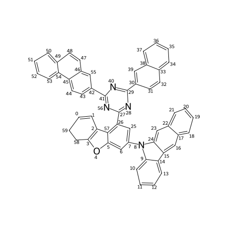 C1=Cc2c(oc3cc(-n4c5ccccc5c5cc6ccccc6cc54)cc(-c4nc(-c5ccc6ccccc6c5)nc(-c5ccc6c(ccc7ccccc76)c5)n4)c23)CC1